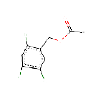 CCC(=O)OCc1cc(Cl)c(Cl)cc1Br